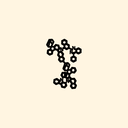 c1ccc(-c2nc(-c3cc(-n4c5cc6cc(C7C8CC9CC7CC(C8)C97c8ccccc8-c8c7ccc7c8c8ccc9ccccc9c8n7-c7cccc8c9ccccc9n(-c9ccccc9)c78)ccc6cc5c5c6c(ccc54)C4(c5ccccc5-6)C5CC6CC(C5)CC4C6)c4ccccc4c3)nc3ccccc23)cc1